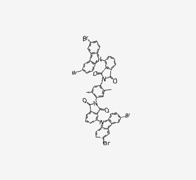 Cc1cc(N2C(=O)c3cccc(-n4c5ccc(Br)cc5c5cc(Br)ccc54)c3C2=O)c(C)cc1N1C(=O)c2cccc(-n3c4ccc(Br)cc4c4cc(Br)ccc43)c2C1=O